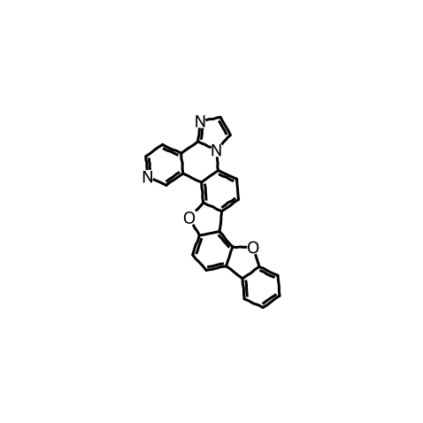 c1ccc2c(c1)oc1c2ccc2oc3c(ccc4c3c3cnccc3c3nccn43)c21